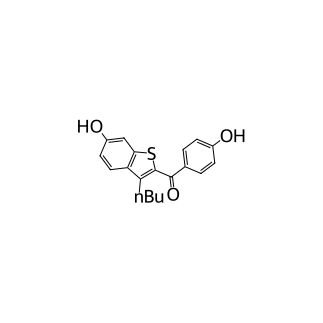 CCCCc1c(C(=O)c2ccc(O)cc2)sc2cc(O)ccc12